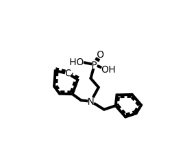 O=P(O)(O)CCN(Cc1ccccc1)Cc1ccccc1